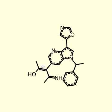 CC(=N)/C(=C(/C)O)c1cnc2c(-c3cnco3)cn(C(C)c3ccccc3)c2c1